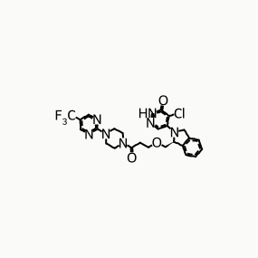 O=C(CCOC[C@@H]1c2ccccc2CN1c1cn[nH]c(=O)c1Cl)N1CCN(c2ncc(C(F)(F)F)cn2)CC1